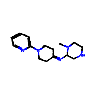 CN1CCNCC1N=C1CCN(c2cc[c]cn2)CC1